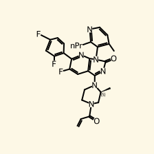 C=CC(=O)N1CCN(c2nc(=O)n(-c3c(C)ccnc3CCC)c3nc(-c4ccc(F)cc4F)c(F)cc23)[C@@H](C)C1